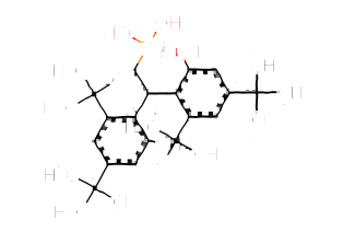 Cc1cc(C(C)(C)C)cc(C(C)(C)C)c1C(C[PH](O)(O)O)c1c(C)cc(C(C)(C)C)cc1C(C)(C)C